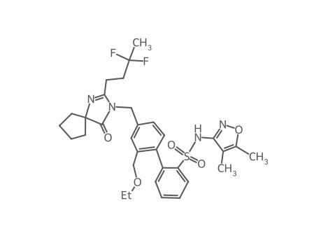 CCOCc1cc(CN2C(=O)C3(CCCC3)N=C2CCC(C)(F)F)ccc1-c1ccccc1S(=O)(=O)Nc1noc(C)c1C